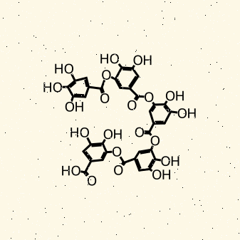 O=C(O)c1cc(O)c(O)c(OC(=O)c2cc(O)c(O)c(OC(=O)c3cc(O)c(O)c(OC(=O)c4cc(O)c(O)c(OC(=O)c5cc(O)c(O)c(O)c5)c4)c3)c2)c1